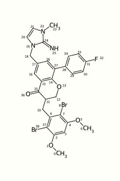 COc1cc(OC)c(Br)c(CC2COc3c(cc(Cn4ccn(C)c4=N)cc3-c3ccc(F)cc3)C2=O)c1Br